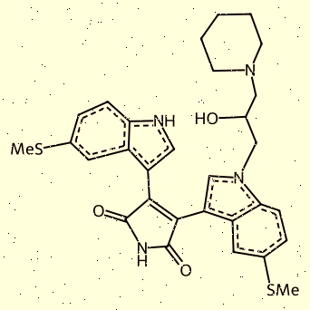 CSc1ccc2[nH]cc(C3=C(c4cn(CC(O)CN5CCCCC5)c5ccc(SC)cc45)C(=O)NC3=O)c2c1